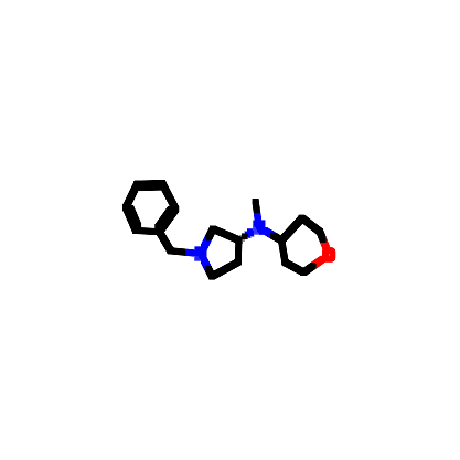 CN(C1CCOCC1)[C@@H]1CCN(Cc2ccccc2)C1